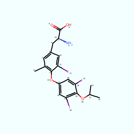 Cc1cc(C[C@H](N)C(=O)O)cc(I)c1Oc1cc(I)c(OC(C)C)c(I)c1